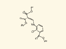 CC(C)OC(=O)C(=CNc1cccc(C(=O)OC(C)C)c1Cl)C(=O)OC(C)C